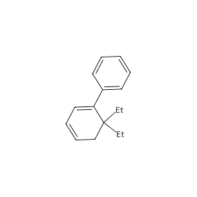 CCC1(CC)CC=CC=C1c1ccccc1